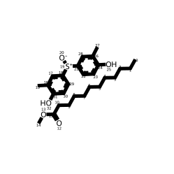 CCCCCCCCCCCC(=O)OC.Cc1cc([S+]([O-])c2ccc(O)c(C)c2)ccc1O